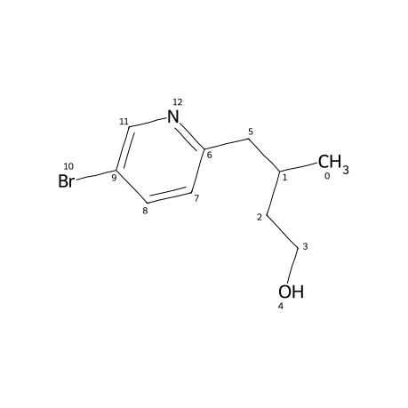 CC(CCO)Cc1ccc(Br)cn1